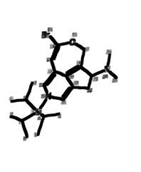 CC(C)[Si](C(C)C)(C(C)C)N1C=C2C=C(Br)OCC3=C2C(=C1)CC3N(C)C